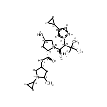 CC1CC(NC(=O)[C@@H]2C[C@@H](O)CN2C(=O)[C@@H](n2cc(C3CC3)nn2)C(C)(C)C)CN1C1CC1